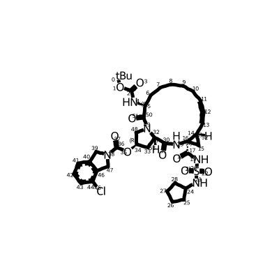 CC(C)(C)OC(=O)N[C@H]1CCCCCC=C=C[C@@H]2C[C@@]2(C(=O)NS(=O)(=O)NC2CCCC2)NC(=O)[C@@H]2C[C@@H](OC(=O)N3Cc4cccc(Cl)c4C3)CN2C1=O